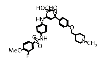 COc1ccc(S(=O)(=O)Nc2ccc(Nc3cc(-c4ccc(OCC5CCN(C)CC5)cc4)ncn3)cc2)cc1F.O=CO